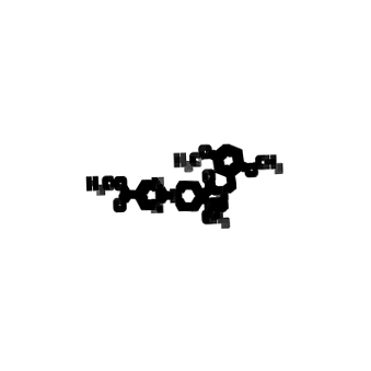 CNC1(C(=O)N(C=O)Cc2cc(OC)ccc2OC)CCN(c2ncc(C(=O)OC)cn2)CC1